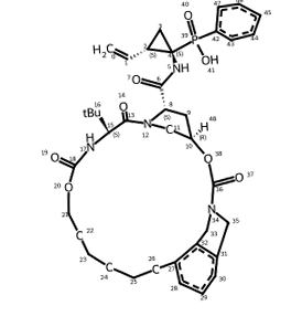 C=C[C@@H]1C[C@]1(NC(=O)[C@@H]1C[C@@H]2CN1C(=O)[C@H](C(C)(C)C)NC(=O)OCCCCCCc1cccc3c1CN(C3)C(=O)O2)P(=O)(O)c1ccccc1